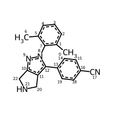 Cc1cccc(C)c1-n1nc2c(c1-c1ccc(C#N)cc1)CNC2